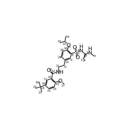 CNC(=S)NS(=O)(=O)c1cc(CCNC(=O)c2cc(C(C)(C)C)ccc2OC)ccc1OC(C)C